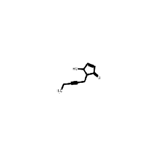 CCC#CCC1C(=O)C=CC1O